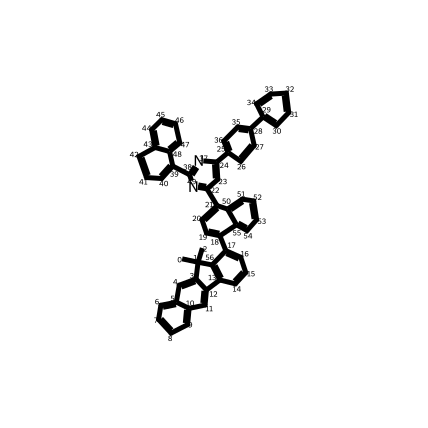 CC1(C)c2cc3ccccc3cc2-c2cccc(-c3ccc(-c4cc(-c5ccc(-c6ccccc6)cc5)nc(-c5cccc6ccccc56)n4)c4ccccc34)c21